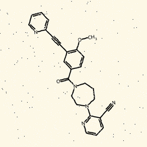 COc1ccc(C(=O)N2CCCN(c3ncccc3C#N)CC2)cc1C#Cc1ccccn1